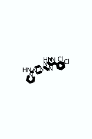 N=C(N1CCCCC1)N1CCN(c2cnc3c(-c4cccc(Cl)c4Cl)n[nH]c3n2)CC1